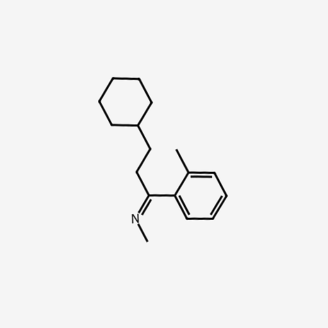 C/N=C(/CCC1CCCCC1)c1ccccc1C